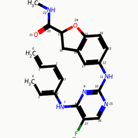 C=C/C=C\C(=C/C)Nc1nc(Nc2ccc3c(c2)CC(C(=O)NC)O3)ncc1F